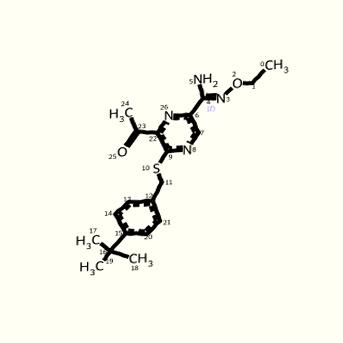 CCO/N=C(\N)c1cnc(SCc2ccc(C(C)(C)C)cc2)c(C(C)=O)n1